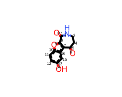 O=C1NCCC(=O)c2c1oc1ccc(O)cc21